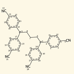 N#Cc1ccc(P(CCCP(c2ccc(C#N)cc2)c2ccc(C#N)cc2)c2ccc(C#N)cc2)cc1